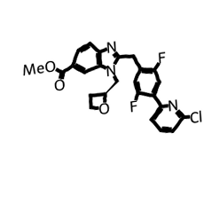 COC(=O)c1ccc2nc(Cc3cc(F)c(-c4cccc(Cl)n4)cc3F)n(C[C@@H]3CCO3)c2c1